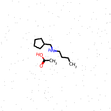 CC(=O)O.CCCCNCC1CCCC1